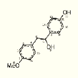 COc1ccc(CC(O)c2ccc(O)cc2)cc1